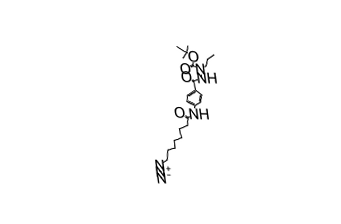 CCCN(NC(=O)c1ccc(NC(=O)CCCCCCCN=[N+]=[N-])cc1)C(=O)OC(C)(C)C